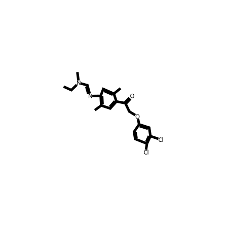 CCN(C)C=Nc1cc(C)c(C(=O)COc2ccc(Cl)c(Cl)c2)cc1C